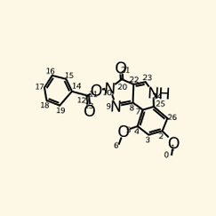 COc1cc(OC)c2c3nn(OC(=O)c4ccccc4)c(=O)c-3c[nH]c2c1